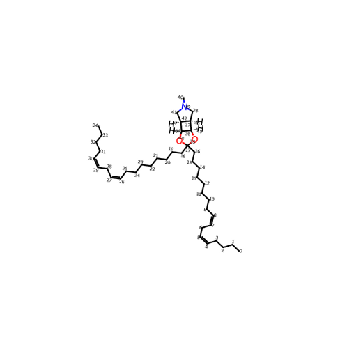 CCCC/C=C\C/C=C\CCCCCCCCC1(CCCCCCCC/C=C\C/C=C\CCCC)O[C@@H]2[C@@H]3CN(C)C[C@@H]3[C@@H]2O1